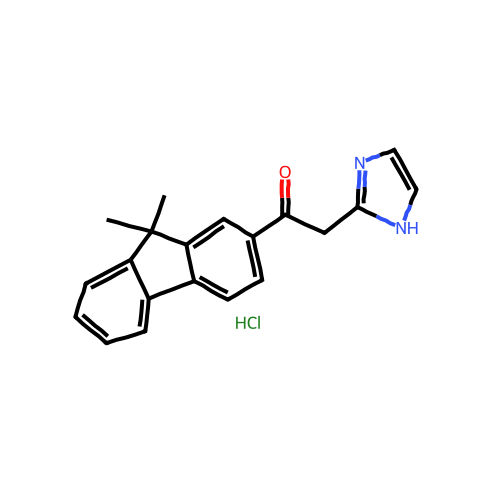 CC1(C)c2ccccc2-c2ccc(C(=O)Cc3ncc[nH]3)cc21.Cl